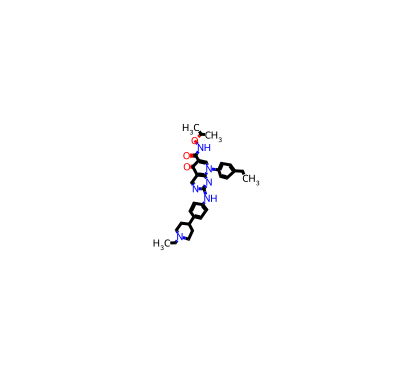 CCc1ccc(-n2cc(C(=O)NOC(C)C)c(=O)c3cnc(Nc4ccc(C5CCN(CC)CC5)cc4)nc32)cc1